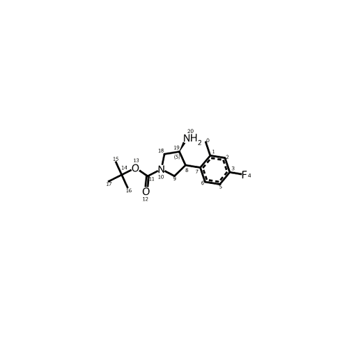 Cc1cc(F)ccc1C1CN(C(=O)OC(C)(C)C)C[C@H]1N